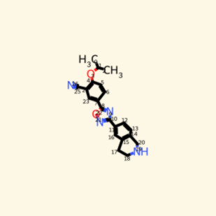 CC(C)Oc1ccc(-c2nc(-c3ccc4c(c3)CCNC4)no2)cc1C#N